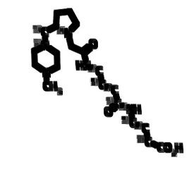 CN1CC[15N]([13CH2]C2CCC[15N]2CC(=O)N[13CH2][13CH2][13CH2][13C](=O)[15NH][13CH2][13CH2][13CH2][13C](=O)O)CC1